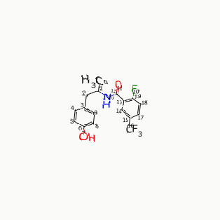 CC(Cc1ccc(O)cc1)NC(=O)c1cc(C(F)(F)F)ccc1F